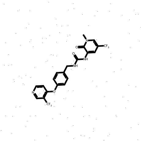 Cn1cc(C(F)(F)F)cc(NC(=O)NCc2ccc(Oc3ccncc3C(F)(F)F)cc2)c1=O